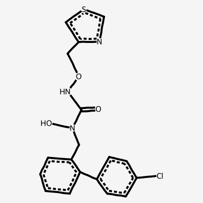 O=C(NOCc1cscn1)N(O)Cc1ccccc1-c1ccc(Cl)cc1